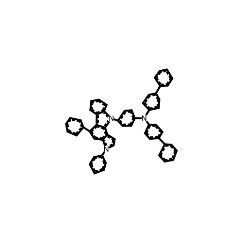 c1ccc(-c2ccc(N(c3ccc(-c4ccccc4)cc3)c3ccc(-n4c5ccccc5c5c(-c6ccccc6)cc6c(ccn6-c6ccccc6)c54)cc3)cc2)cc1